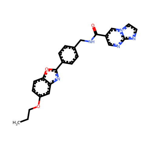 CCCOc1ccc2oc(-c3ccc(CNC(=O)c4cnc5nccn5c4)cc3)nc2c1